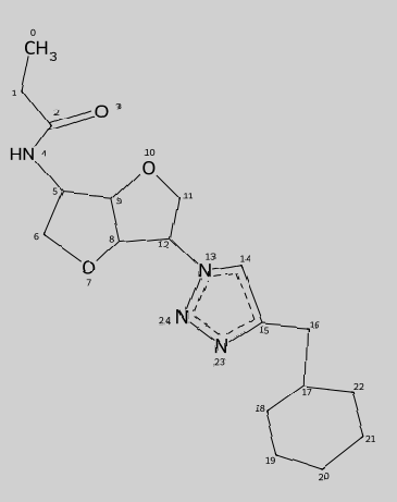 CCC(=O)NC1COC2C1OCC2n1cc(CC2CCCCC2)nn1